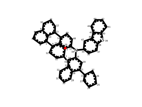 Fc1ccc(-c2cccc3cccc(-c4ccc(N(c5cc(-c6ccccc6)c6ccccc6c5)c5ccc6sc7ccccc7c6c5)cc4)c23)cc1